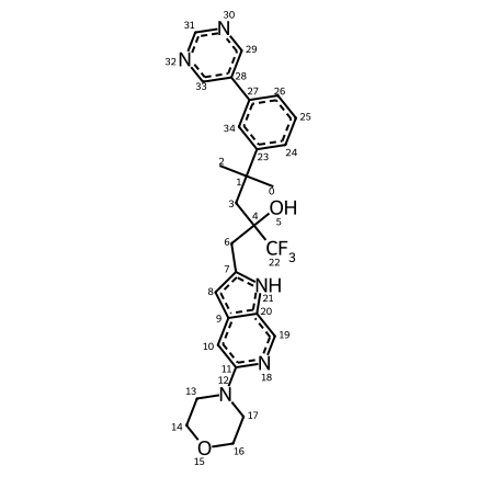 CC(C)(CC(O)(Cc1cc2cc(N3CCOCC3)ncc2[nH]1)C(F)(F)F)c1cccc(-c2cncnc2)c1